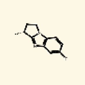 C[C@@H]1CCn2c1nc1cc(F)ccc12